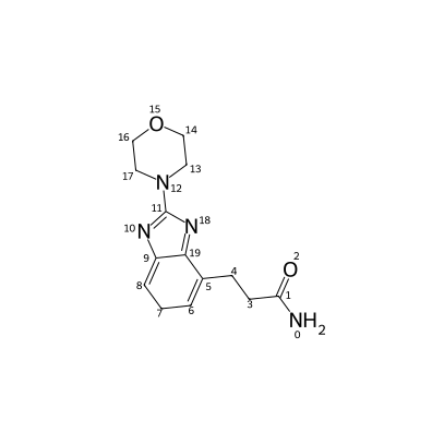 NC(=O)CCC1=CCC=C2N=C(N3CCOCC3)N=C12